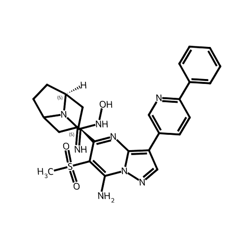 CS(=O)(=O)c1c([C@H]2CC3CC[C@@H](C2)N3C(=N)NO)nc2c(-c3ccc(-c4ccccc4)nc3)cnn2c1N